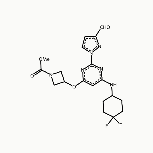 COC(=O)N1CC(Oc2cc(NC3CCC(F)(F)CC3)nc(-n3ccc(C=O)n3)n2)C1